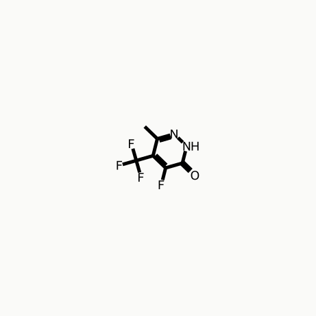 Cc1n[nH]c(=O)c(F)c1C(F)(F)F